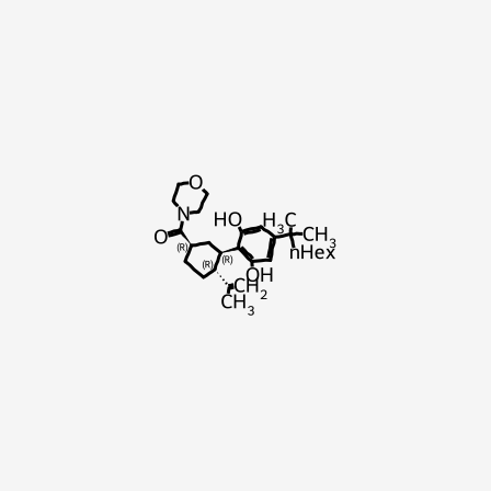 C=C(C)[C@@H]1CC[C@@H](C(=O)N2CCOCC2)C[C@H]1c1c(O)cc(C(C)(C)CCCCCC)cc1O